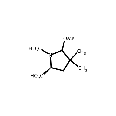 COC1N(C(=O)O)[C@H](C(=O)O)CC1(C)C